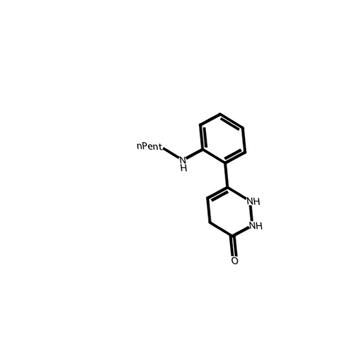 CCCCCNc1ccccc1C1=CCC(=O)NN1